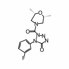 C[C@@H]1CN(C(=O)n2nnc(=O)n2-c2cccc(F)c2)C[C@H](C)O1